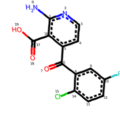 Nc1nccc(C(=O)c2cc(F)ccc2Cl)c1C(=O)O